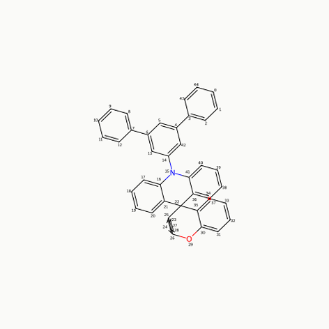 c1ccc(-c2cc(-c3ccccc3)cc(N3c4ccccc4C4(c5ccccc5Oc5ccccc54)c4ccccc43)c2)cc1